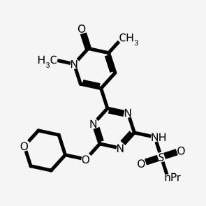 CCCS(=O)(=O)Nc1nc(OC2CCOCC2)nc(-c2cc(C)c(=O)n(C)c2)n1